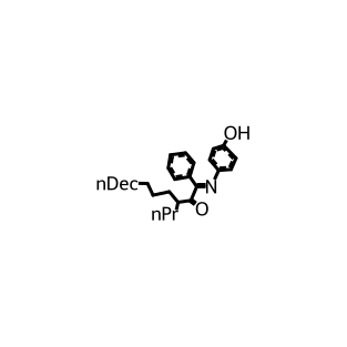 CCCCCCCCCCCCCC(CCC)C(=O)C(=Nc1ccc(O)cc1)c1ccccc1